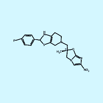 C[C@]1(CN2CCC3=C(C2)SC(c2ccc(F)cc2)N3)Cn2cc([N+](=O)[O-])nc2O1